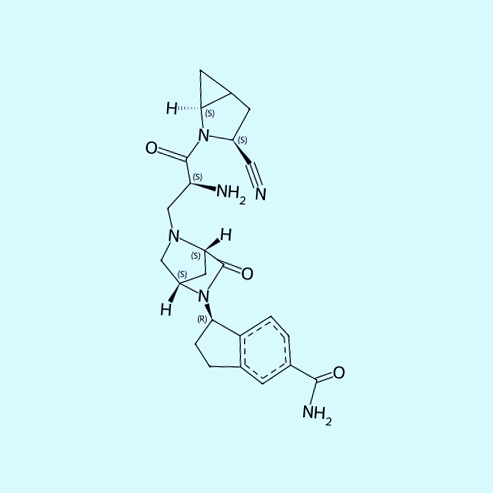 N#C[C@@H]1CC2C[C@@H]2N1C(=O)[C@@H](N)CN1C[C@@H]2C[C@H]1C(=O)N2[C@@H]1CCc2cc(C(N)=O)ccc21